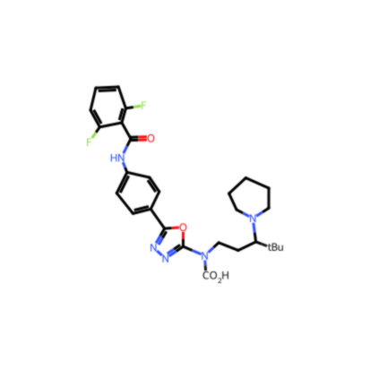 CC(C)(C)C(CCN(C(=O)O)c1nnc(-c2ccc(NC(=O)c3c(F)cccc3F)cc2)o1)N1CCCCC1